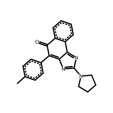 Cc1ccc(C2=C3N=C(N4CCCC4)N=C3c3ccccc3C2=O)cc1